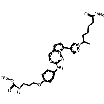 COC(=O)CCCCC(C)n1cc(-c2ccc3cnc(Nc4ccc(OCCCNC(=O)OC(C)(C)C)cc4)nn23)cn1